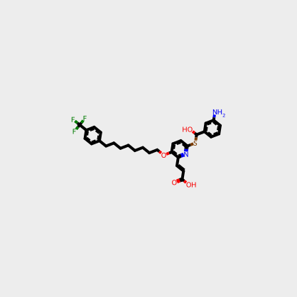 Nc1cccc(C(O)Sc2ccc(OCCCCCCCCc3ccc(C(F)(F)F)cc3)c(C=CC(=O)O)n2)c1